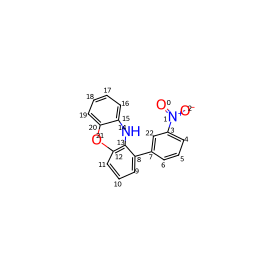 O=[N+]([O-])c1cccc(-c2cccc3c2Nc2ccccc2O3)c1